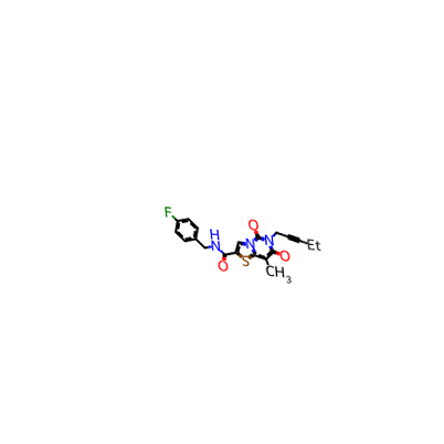 CCC#CCn1c(=O)c(C)c2sc(C(=O)NCc3ccc(F)cc3)cn2c1=O